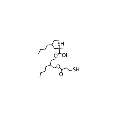 CCCCC(CC)CC(C)(S)C(=O)O.CCCCC(CC)COC(=O)CCS